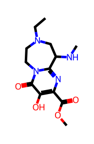 CCN1CCn2c(nc(C(=O)OC)c(O)c2=O)C(NC)C1